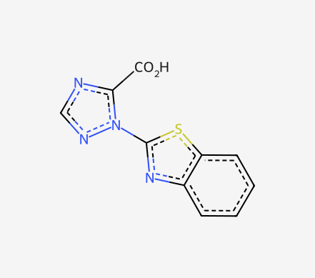 O=C(O)c1ncnn1-c1nc2ccccc2s1